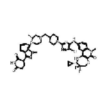 C[C@H]1CN(CC2CCN(c3ncc(Cl)c(Nc4ccc5c(c4)c4c(c(=O)n5C)OCC(F)(F)[C@H](C5CC5)N4)n3)CC2)CCN1c1cccc2c(C3CCC(=O)NC3=O)nn(C)c12